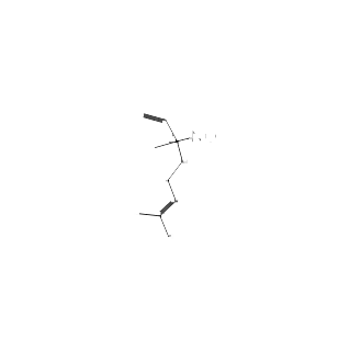 C=CC(C)(CCC=C(C)C)N=O